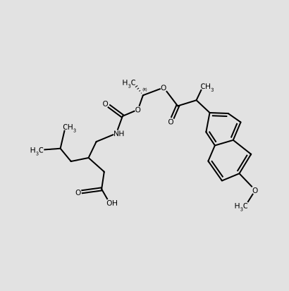 COc1ccc2cc(C(C)C(=O)O[C@@H](C)OC(=O)NCC(CC(=O)O)CC(C)C)ccc2c1